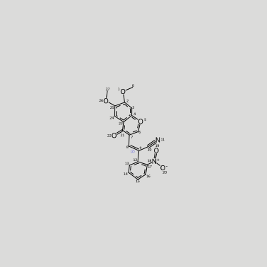 COc1cc2occ(/C=C(\C#N)c3ccccc3[N+](=O)[O-])c(=O)c2cc1OC